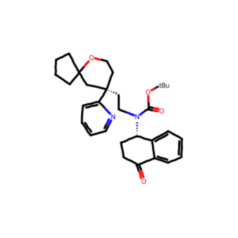 CC(C)(C)OC(=O)N(CC[C@@]1(c2ccccn2)CCOC2(CCCC2)C1)[C@H]1CCC(=O)c2ccccc21